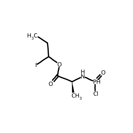 CCC(I)OC(=O)[C@H](C)N[PH](=O)Cl